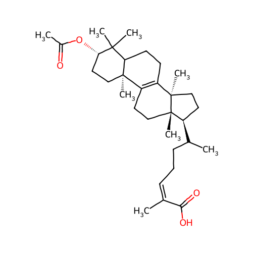 CC(=O)O[C@H]1CC[C@]2(C)C3=C(CCC2C1(C)C)[C@@]1(C)CC[C@@H](C(C)CC/C=C(/C)C(=O)O)[C@]1(C)CC3